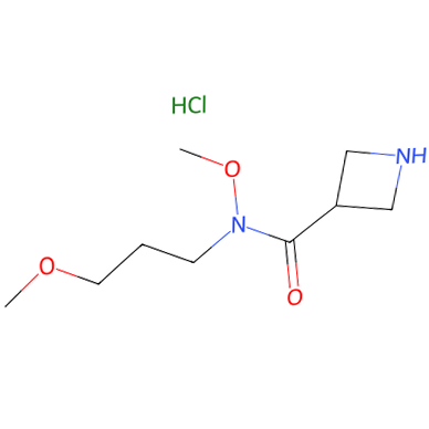 COCCCN(OC)C(=O)C1CNC1.Cl